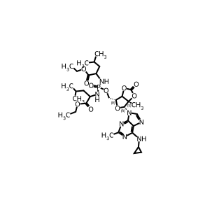 CCOC(=O)C(CC(C)C)NP(=O)(NC(CC(C)C)C(=O)OCC)OC[C@H]1O[C@@H](n2cnc3c(NC4CC4)nc(C)nc32)[C@@]2(C)OC(=O)OC12